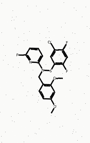 COc1ccc(CN(Sc2cc(Cl)c(F)cc2F)c2cccc(F)n2)c(OC)c1